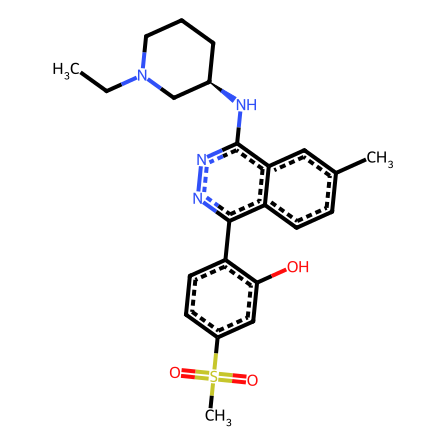 CCN1CCC[C@@H](Nc2nnc(-c3ccc(S(C)(=O)=O)cc3O)c3ccc(C)cc23)C1